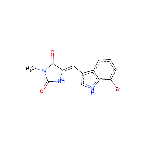 CN1C(=O)N/C(=C\c2c[nH]c3c(Br)cccc23)C1=O